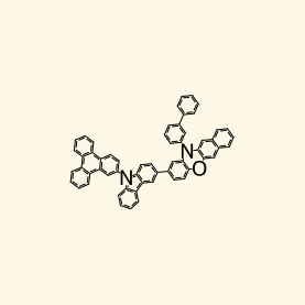 c1ccc(-c2cccc(N3c4cc(-c5ccc6c(c5)c5ccccc5n6-c5ccc6c7ccccc7c7ccccc7c6c5)ccc4Oc4cc5ccccc5cc43)c2)cc1